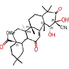 COC(=O)[C@]12CCC(C)(C)CC1C1C(=O)C=C3[C@]4(C)C(CC[C@@]3(C)[C@]1(C)CC2)C(C)(C)C(=O)[C@@](O)(C#N)[C@@H]4O